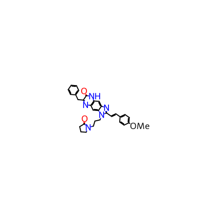 COc1ccc(/C=C/c2nc3cc4[nH]c(=O)c(Cc5ccccc5)nc4cc3n2CCCN2CCCC2=O)cc1